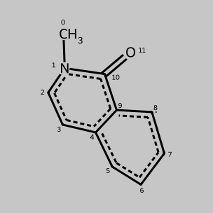 Cn1ccc2ccc[c]c2c1=O